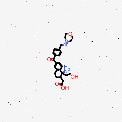 NC1(CCO)c2ccc(C(=O)c3ccc(C=NN4CCOCC4)cc3)cc2CCC1CC(=O)O